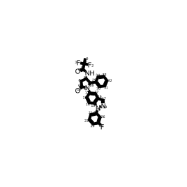 CC(F)(F)C(=O)N[C@H]1CC(=O)N(c2ccc3c(cnn3-c3cccc(F)c3)c2)C1c1ccccc1